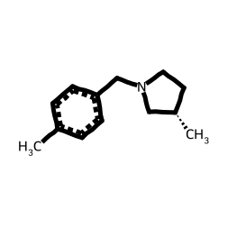 Cc1ccc(CN2CC[C@H](C)C2)cc1